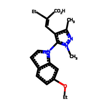 CCOc1ccc2ccn(-c3c(C=C(CC)C(=O)O)c(C)nn3C)c2c1